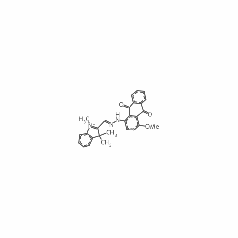 COc1ccc(NN=CC2=[N+](C)c3ccccc3C2(C)C)c2c1C(=O)c1ccccc1C2=O